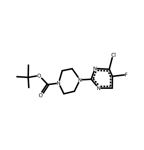 CC(C)(C)OC(=O)N1CCN(c2ncc(F)c(Cl)n2)CC1